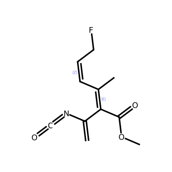 C=C(N=C=O)/C(C(=O)OC)=C(C)\C=C/CF